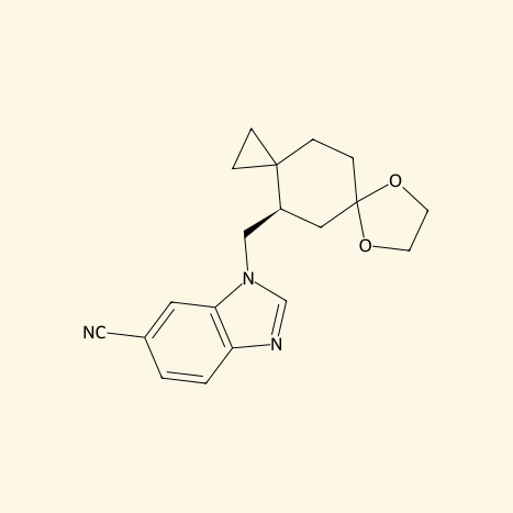 N#Cc1ccc2ncn(C[C@@H]3CC4(CCC35CC5)OCCO4)c2c1